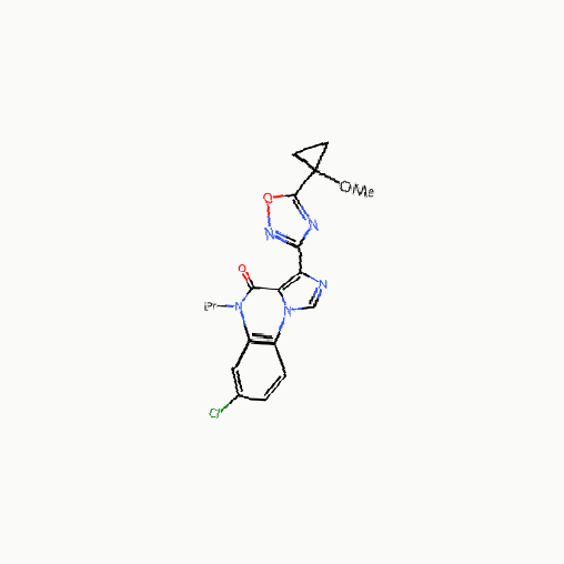 COC1(c2nc(-c3ncn4c3c(=O)n(C(C)C)c3cc(Cl)ccc34)no2)CC1